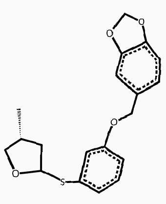 C[C@H]1COC(Sc2cccc(OCc3ccc4c(c3)OCO4)c2)C1